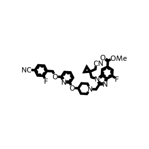 COC(=O)c1cc(F)c2nc(CN3CCC(Oc4cccc(OCc5ccc(C#N)cc5F)n4)CC3)n(CC3(CC#N)CC3)c2c1